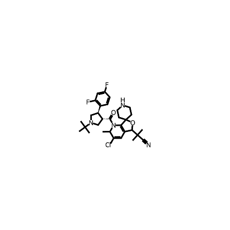 CC1C(Cl)=CC2=C(N1C(=O)[C@@H]1CN(C(C)(C)C)C[C@H]1c1ccc(F)cc1F)C1(CCNCC1)OC2C(C)(C)C#N